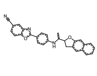 C=C(Nc1ccc(-c2nc3cc(C#N)ccc3o2)cc1)C1Cc2cc3ccccc3cc2O1